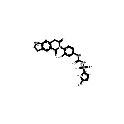 O=C(Nc1ccc(N2C(=O)Cc3cc4c(cc3C2=O)CCN4)c(F)c1)NS(=O)(=O)c1ccc(Cl)s1